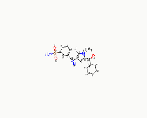 Cn1c(Cc2ccc(S(N)(=O)=O)cc2C#N)ccc1C(=O)c1ccccc1